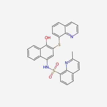 Cc1ccc2cccc(S(=O)(=O)Nc3cc(Sc4cccc5cccnc45)c(O)c4ccccc34)c2n1